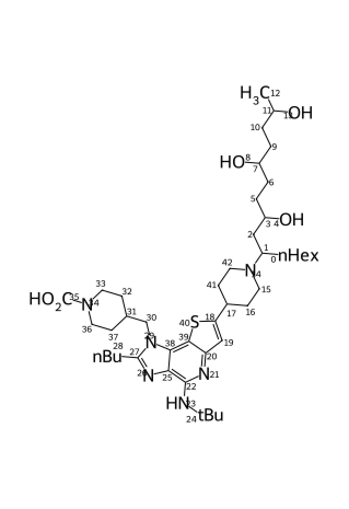 CCCCCCC(CC(O)CCC(O)CCC(C)O)N1CCC(c2cc3nc(NC(C)(C)C)c4nc(CCCC)n(CC5CCN(C(=O)O)CC5)c4c3s2)CC1